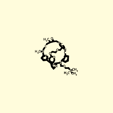 CC1CCCN(C)c2ccc(cn2)-c2ccnc(n2)N(COCCS(C)(C)C)c2cccc(c2)CN2CCN(CC1=O)CC2COCCOC1CCCCO1